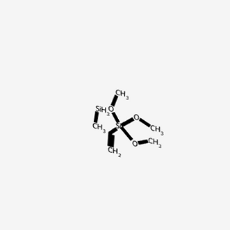 C=C[Si](OC)(OC)OC.C[SiH3]